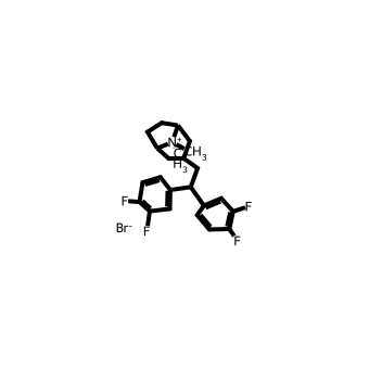 C[N+]1(C)C2CCC1CC(CC(c1ccc(F)c(F)c1)c1ccc(F)c(F)c1)C2.[Br-]